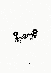 CC(C)C(C#N)(CCCN1CCN(CCN2C(=O)OCC2c2ccccc2)CC1)c1ccccc1